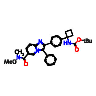 CON(C)C(=O)c1ccc2nc(-c3ccc(C4(NC(=O)OC(C)(C)C)CCC4)cc3)c(-c3ccccc3)n2c1